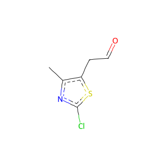 Cc1nc(Cl)sc1CC=O